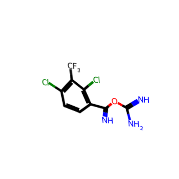 N=C(N)OC(=N)c1ccc(Cl)c(C(F)(F)F)c1Cl